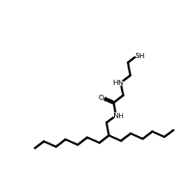 CCCCCCCC(CCCCCC)CNC(=O)CNCCS